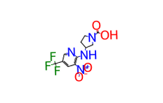 O=C(O)N1CCC(Nc2ncc(C(F)(F)F)cc2[N+](=O)[O-])C1